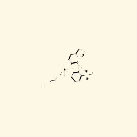 O=C(NOCCO)Oc1ccc2cncn2c1Nc1ccccc1S(=O)(=O)CF